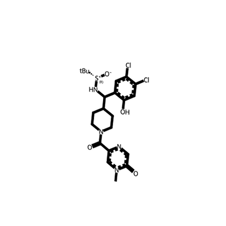 Cn1cc(C(=O)N2CCC(C(N[S@@+]([O-])C(C)(C)C)c3cc(Cl)c(Cl)cc3O)CC2)ncc1=O